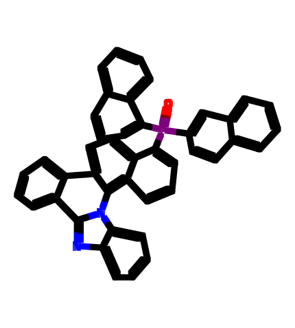 O=P(c1ccc2ccccc2c1)(c1cccc2ccccc12)c1cccc2c1ccc1c3ccccc3c3nc4ccccc4n3c21